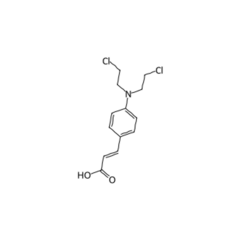 O=C(O)C=Cc1ccc(N(CCCl)CCCl)cc1